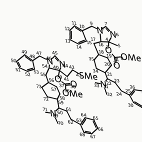 COC(=O)OC1(C)N=CN(Cc2ccccc2)C1CC1CCC(C(CCc2ccccc2)N(C)C)CC1.COC(=O)OC1(CCSC)N=CN(Cc2ccccc2)C1CC1CCC(C(CCc2ccccc2)N(C)C)CC1